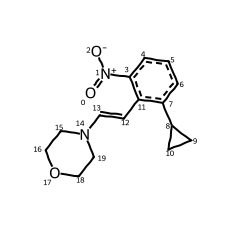 O=[N+]([O-])c1cccc(C2CC2)c1C=CN1CCOCC1